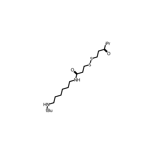 CC(C)C(=O)CCSSCCC(=O)NCCCCCCNC(C)(C)C